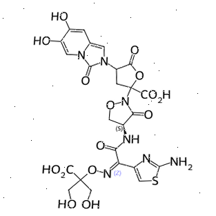 Nc1nc(/C(=N/OC(CO)(CO)C(=O)O)C(=O)N[C@H]2CON(C3(C(=O)O)CC(n4cc5cc(O)c(O)cn5c4=O)C(=O)O3)C2=O)cs1